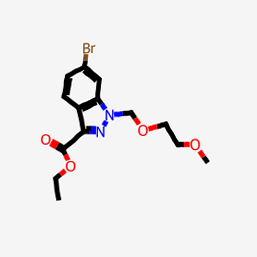 CCOC(=O)c1nn(COCCOC)c2cc(Br)ccc12